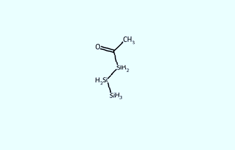 CC(=O)[SiH2][SiH2][SiH3]